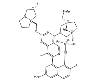 COC[C@@]12CC[C@@H](CN(c3nc(OC[C@@]45CCCN4C[C@H](F)C5)nc4c(F)c(-c5cc(OC)cc6ccc(F)c(C#C[Si](C(C)C)(C(C)C)C(C)C)c56)ncc34)C1)N2